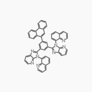 c1cnc2c(-n3c(-c4cc(-c5cc6ccccc6c6ccccc56)cc(-c5nc6cccnc6n5-c5cccc6cccnc56)c4)nc4cccnc43)cccc2c1